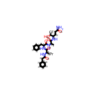 CC(NC(=O)C(Cc1ccccc1)NC(=O)C(NC(=O)Cc1ccccc1)C(C)C)C(=O)NC(CCC(N)=O)C(O)C(F)(F)F